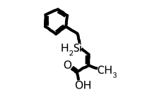 CC(=C[SiH2]Cc1ccccc1)C(=O)O